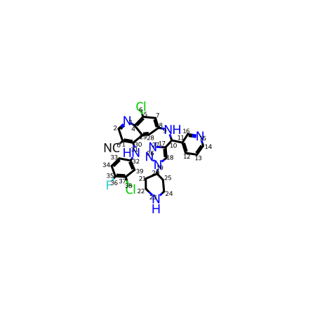 N#Cc1cnc2c(Cl)cc(NC(c3cccnc3)c3cn(C4CCNCC4)nn3)cc2c1Nc1ccc(F)c(Cl)c1